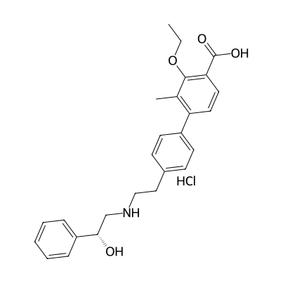 CCOc1c(C(=O)O)ccc(-c2ccc(CCNC[C@H](O)c3ccccc3)cc2)c1C.Cl